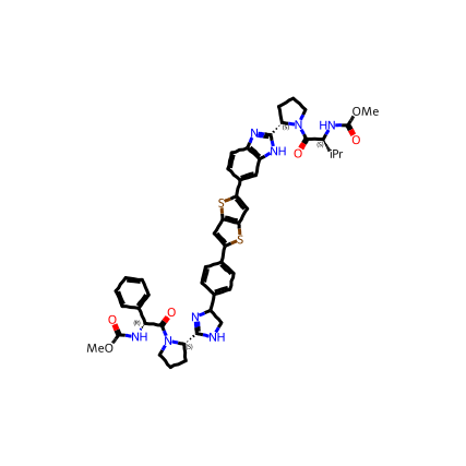 COC(=O)N[C@H](C(=O)N1CCC[C@H]1c1nc2ccc(-c3cc4sc(-c5ccc(C6CNC([C@@H]7CCCN7C(=O)[C@H](NC(=O)OC)c7ccccc7)=N6)cc5)cc4s3)cc2[nH]1)C(C)C